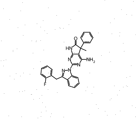 CC1(c2ccccc2)C(=O)Nc2nc(-n3nc(Cc4ccccc4F)c4ccccc43)nc(N)c21